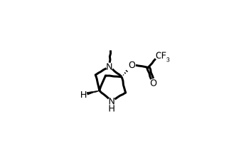 CN1C[C@@H]2C[C@]1(OC(=O)C(F)(F)F)CN2